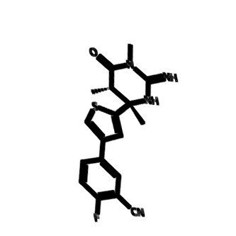 C[C@@H]1C(=O)N(C)C(=N)N[C@]1(C)c1cc(-c2ccc(F)c(C#N)c2)cs1